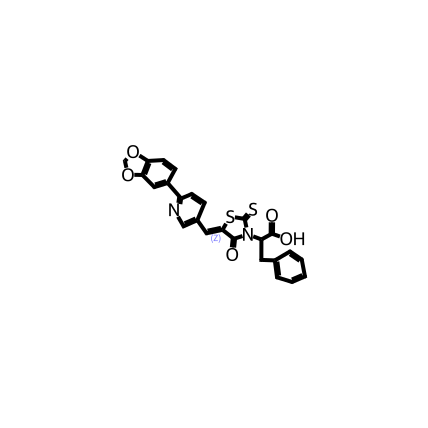 O=C(O)C(Cc1ccccc1)N1C(=O)/C(=C/c2ccc(-c3ccc4c(c3)OCO4)nc2)SC1=S